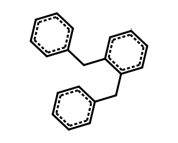 [c]1ccc(Cc2ccccc2)c(Cc2ccccc2)c1